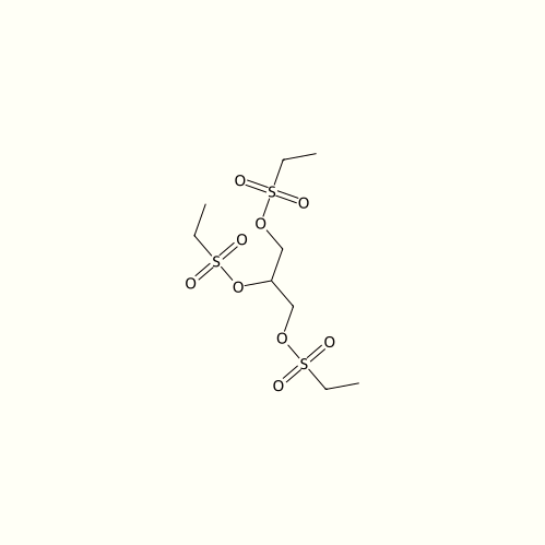 CCS(=O)(=O)OCC(COS(=O)(=O)CC)OS(=O)(=O)CC